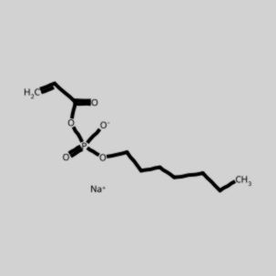 C=CC(=O)OP(=O)([O-])OCCCCCCC.[Na+]